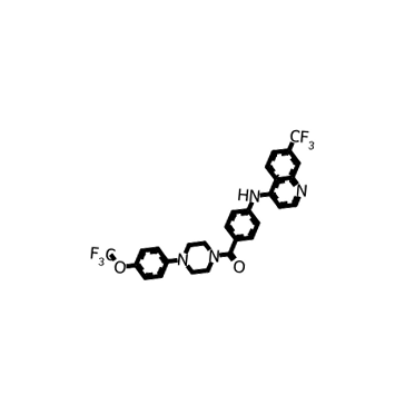 O=C(c1ccc(Nc2ccnc3cc(C(F)(F)F)ccc23)cc1)N1CCN(c2ccc(OC(F)(F)F)cc2)CC1